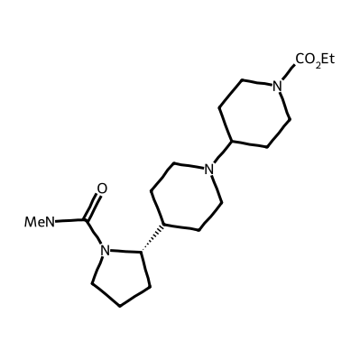 CCOC(=O)N1CCC(N2CCC([C@@H]3CCCN3C(=O)NC)CC2)CC1